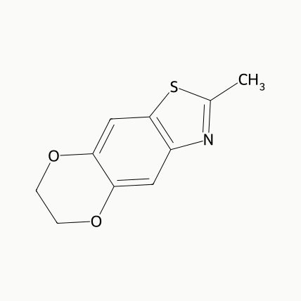 Cc1nc2cc3c(cc2s1)OCCO3